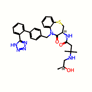 C[C@H](O)CNC(C)(C)CC(=O)N[C@@H]1CSc2ccccc2N(Cc2ccc(-c3ccccc3-c3nnn[nH]3)cc2)C1=O